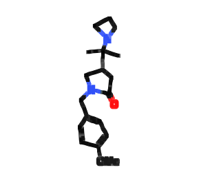 COc1ccc(CN2CC(C(C)(C)N3CCC3)CC2=O)cc1